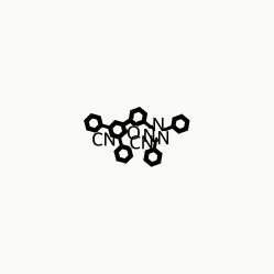 N#Cc1ccccc1-c1cc(-c2ccccc2C#N)c2oc3c(-c4nc(-c5ccccc5)nc(-c5ccccc5)n4)cccc3c2c1